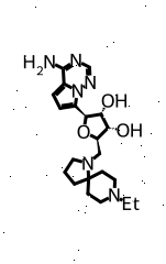 CCN1CCC2(CCCN2C[C@H]2O[C@@H](c3ccc4c(N)ncnn34)[C@H](O)[C@@H]2O)CC1